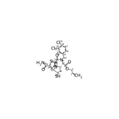 C=CCOC(=O)C([C@@H]1C[C@H](S)CN1)N(Cc1ccc(Cl)c(Cl)c1)C(=O)c1ccc(C(N)=O)s1